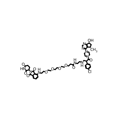 C[C@@H]1C[C@@H](O)c2ncnc(N3CCN(C(=O)C(CNCCNC(=O)CCOCCOCCOCCOCCNc4cccc5c4C(=O)N(C4CCC(=O)NC4=O)C5=O)c4ccc(Cl)cc4)CC3)c21